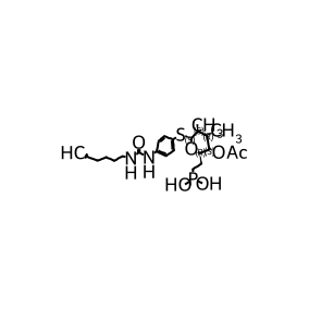 C#CCCCCNC(=O)Nc1ccc(S[C@@H]2O[C@H](CCP(O)O)[C@@H](OC(C)=O)[C@H](C)[C@@H]2C)cc1